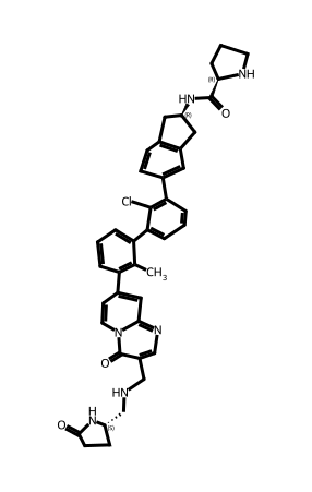 Cc1c(-c2ccn3c(=O)c(CNC[C@@H]4CCC(=O)N4)cnc3c2)cccc1-c1cccc(-c2ccc3c(c2)C[C@H](NC(=O)[C@H]2CCCN2)C3)c1Cl